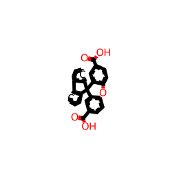 O=C(O)c1ccc2c(c1)C1(c3cc(C(=O)O)ccc3O2)c2ccccc2-c2ccccc21